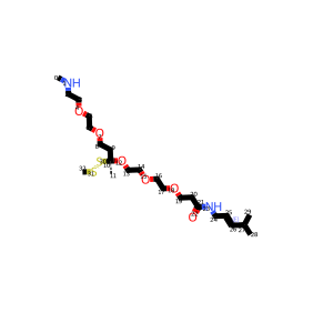 CNCCOCCOCC[C@@](C)(OCCOCCOCCC(=O)NC/C=C/C(C)C)SSC